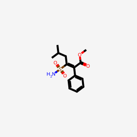 COC(=O)C(=C(CC(C)C)S(N)(=O)=O)c1ccccc1